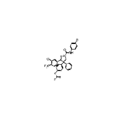 O=C(Nc1ccc(Br)cc1)N1CC(c2ccccc2)(c2ccc(OC(F)F)cc2)C(c2ccc(C(F)(F)F)c(Cl)c2)=N1